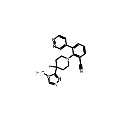 Cn1cnnc1C1(F)CCN(c2c(C#N)cccc2-c2ccnnc2)CC1